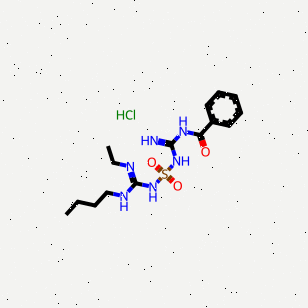 CCCCNC(=NCC)NS(=O)(=O)NC(=N)NC(=O)c1ccccc1.Cl